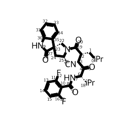 CC(C)C[C@H](CC(=O)[C@@H](NC(=O)c1c(F)cccc1F)C(C)C)C(=O)N1C[C@]2(C[C@H]1C#N)C(=O)Nc1ccccc12